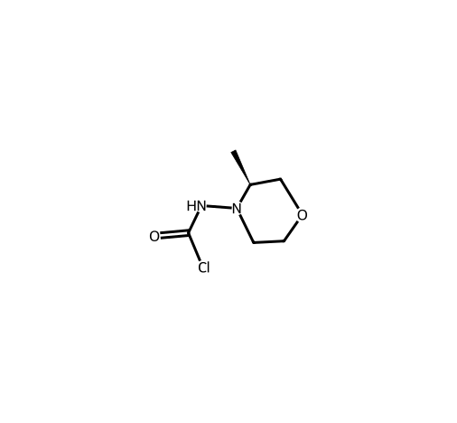 C[C@H]1COCCN1NC(=O)Cl